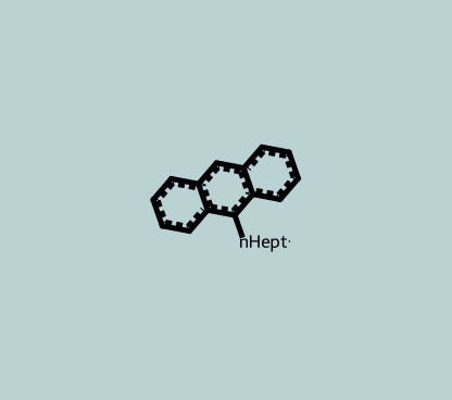 CCCCCC[CH]c1c2ccccc2cc2ccccc12